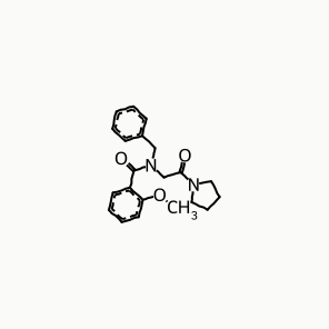 COc1ccccc1C(=O)N(CC(=O)N1CCCC1)Cc1ccccc1